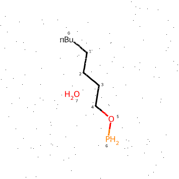 CCCCCCCCOP.O